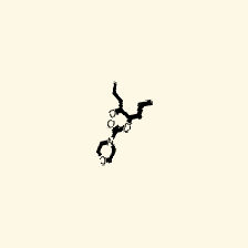 CCCC(=O)C(CCC)OC(=O)N1CCOCC1